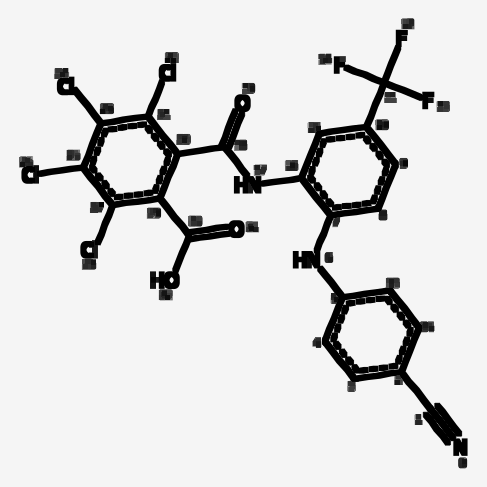 N#Cc1ccc(Nc2ccc(C(F)(F)F)cc2NC(=O)c2c(Cl)c(Cl)c(Cl)c(Cl)c2C(=O)O)cc1